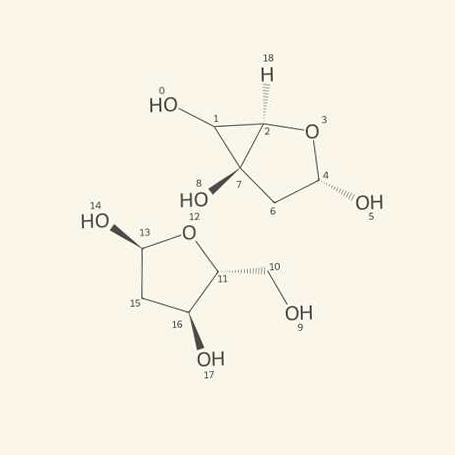 OC1[C@H]2O[C@H](O)C[C@]12O.OC[C@H]1O[C@H](O)C[C@@H]1O